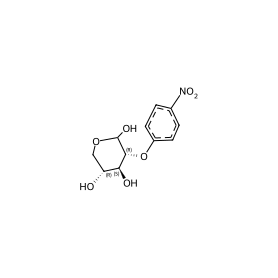 O=[N+]([O-])c1ccc(O[C@H]2C(O)OC[C@@H](O)[C@@H]2O)cc1